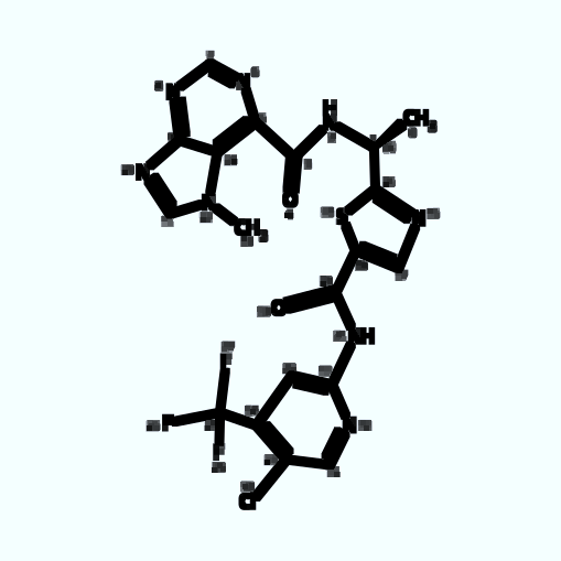 C[C@H](NC(=O)c1ncnc2ncn(C)c12)c1ncc(C(=O)Nc2cc(C(F)(F)F)c(Cl)cn2)s1